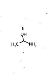 CC(N)O.[Ti]